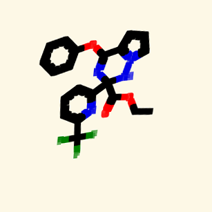 CCOC(=O)C1(c2cccc(C(F)(F)F)n2)N=C(Oc2ccccc2)c2cccn2N1